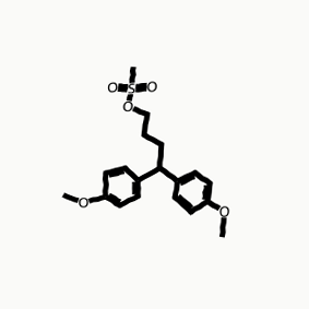 COc1ccc(C(CCCOS(C)(=O)=O)c2ccc(OC)cc2)cc1